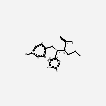 CCC[C@H](C(C)=O)[C@H](Cc1cc[n+](C)cc1)c1nnn[nH]1